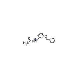 NC(=S)N/N=C/c1cccc(OCc2ccccc2)c1